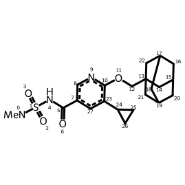 CNS(=O)(=O)NC(=O)c1cnc(OCC23CC4CC(CC(C4)C2)C3)c(C2CC2)c1